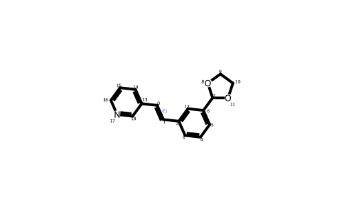 C(=C\c1cccc(C2OCCO2)c1)/c1cccnc1